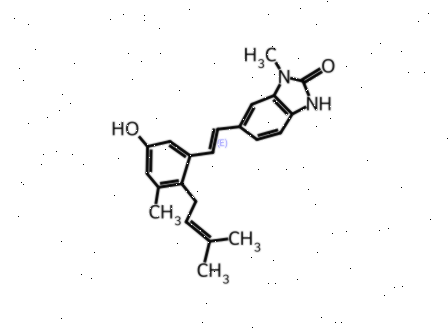 CC(C)=CCc1c(C)cc(O)cc1/C=C/c1ccc2[nH]c(=O)n(C)c2c1